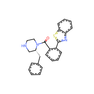 O=C(c1ccccc1-c1nc2ccccc2s1)N1CCNC[C@H]1Cc1ccccc1